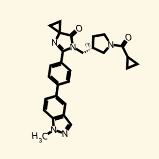 Cn1ncc2cc(-c3ccc(C4=NC5(CC5)C(=O)N4C[C@@H]4CCN(C(=O)C5CC5)C4)cc3)ccc21